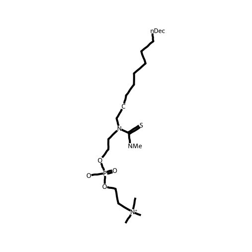 CCCCCCCCCCCCCCCCCCN(CCOP(=O)([O-])OCC[N+](C)(C)C)C(=S)NC